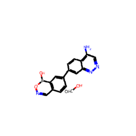 Nc1cnnc2cc(-c3ccc4c(c3)B(O)ON=C4)ccc12.O=CO